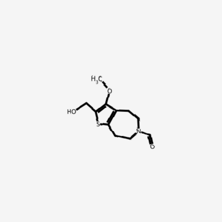 COc1c(CO)sc2c1CCN(C=O)CC2